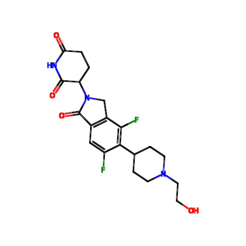 O=C1CCC(N2Cc3c(cc(F)c(C4CCN(CCO)CC4)c3F)C2=O)C(=O)N1